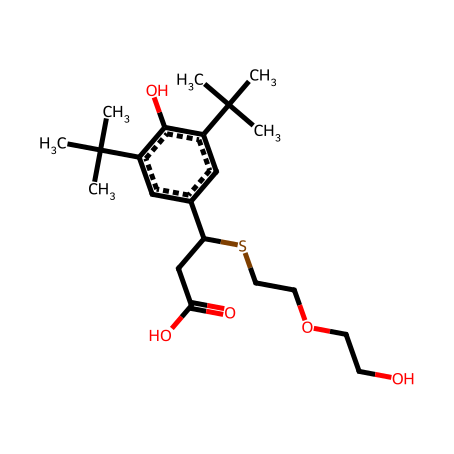 CC(C)(C)c1cc(C(CC(=O)O)SCCOCCO)cc(C(C)(C)C)c1O